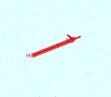 CCCCCCCCCCCCCCOCC(CNC(=O)OCCOCCOCCOCCOCCOCCOCCOCCOCCOCCOCCOCCOCCOCCOCCOCCOCCOCCOCCOCCOCCOCCOCCOCCOCCOCCOCCOCCO)OCCCCCCCCCCCCCC